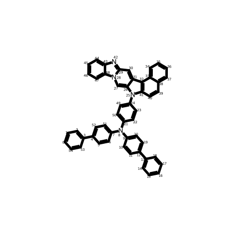 c1ccc(-c2ccc(N(c3ccc(-c4ccccc4)cc3)c3ccc(-n4c5cn6c(cc5c5c7ccccc7ccc54)nc4ccccc46)cc3)cc2)cc1